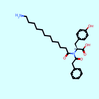 NCCCCCCCCCCCC(=O)N(C(=O)Cc1ccccc1)[C@@H](Cc1ccc(O)cc1)C(=O)O